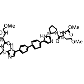 COCC[C@H](NC(=O)OC)C(=O)N1CCC[C@H]1c1ncc(-c2ccc(-c3ccc(-c4cnc([C@@H]5CCCN5C(=O)[C@H](CCOC)N(C)C(=O)O)[nH]4)cc3)cc2)[nH]1